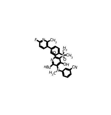 CCCCc1nc(O)c(S(C)(C)(=O)c2ccc(-c3ccc(F)nc3C)cc2)c(O)c1N(C)c1cccc(C#N)c1